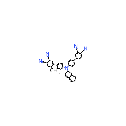 CC1CC(C#N)=C(C#N)C=C1c1ccc(N(c2ccc(-c3ccc(C#N)c(C#N)c3)cc2)c2ccc3ccccc3c2)cc1